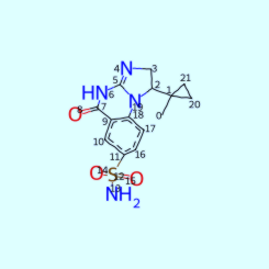 CC1(C2CN=C3NC(=O)c4cc(S(N)(=O)=O)ccc4N32)CC1